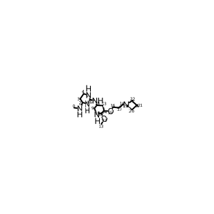 CNC1CCNC(NC2CNC(OC)C(OCCCN3CCC3)C2)N1